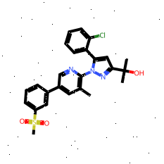 Cc1cc(-c2cccc(S(C)(=O)=O)c2)cnc1-n1nc(C(C)(C)O)cc1-c1ccccc1Cl